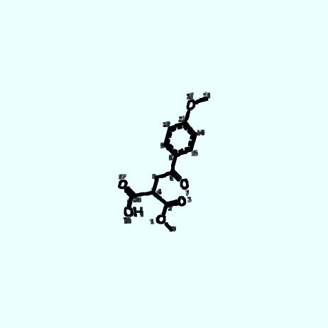 COC(=O)C(CC(=O)c1ccc(OC)cc1)C(=O)O